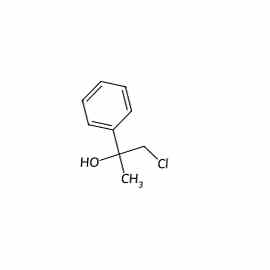 CC(O)(CCl)c1ccccc1